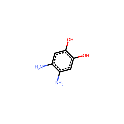 Nc1cc(O)c(O)cc1N